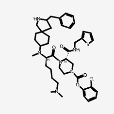 CN(C)CCCC[C@H](C(=O)N1CCN(C(=O)Oc2ccccc2Cl)C[C@H]1C(=O)NCc1cccs1)N(C)C1CCC2(CC1)CNC(Cc1ccccc1)C2